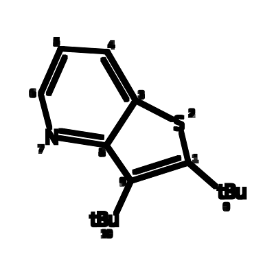 CC(C)(C)c1sc2cccnc2c1C(C)(C)C